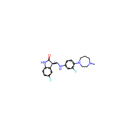 CN1CCCN(c2ccc(N/C=C3/C(=O)Nc4ccc(F)cc43)cc2F)CC1